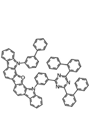 c1ccc(-c2cccc(-n3c4ccccc4c4ccc5c6ccc7c8ccccc8n(-c8cccc(-c9nc(-c%10ccccc%10-c%10ccccc%10)nc(-c%10ccccc%10-c%10ccccc%10)n9)c8)c7c6oc5c43)c2)cc1